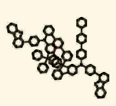 c1ccc(-c2ccc(-c3ccc(N(c4ccc(-c5cccc6c5sc5ccccc56)cc4)c4ccc5c(c4)C(c4ccccc4)(c4cccc(-c6ccc(-c7ccccc7N(c7ccc(-c8cccc9c8sc8ccccc89)cc7)c7ccc8c(c7)C(c7ccccc7)(c7ccccc7)c7ccccc7-8)cc6)c4)c4ccccc4-5)cc3)cc2)cc1